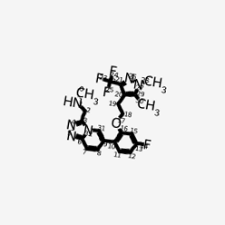 CNCc1nnc2ccc(-c3ccc(F)cc3OCCc3c(C(F)(F)F)nn(C)c3C)cn12